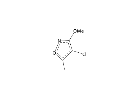 COc1noc(C)c1Cl